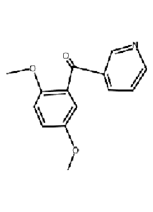 COc1ccc(OC)c(C(=O)c2cccnc2)c1